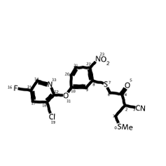 CSCC(C#N)C(=O)CSc1cc(Oc2ncc(F)cc2Cl)ccc1[N+](=O)[O-]